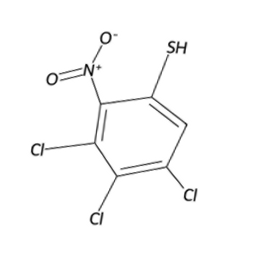 O=[N+]([O-])c1c(S)cc(Cl)c(Cl)c1Cl